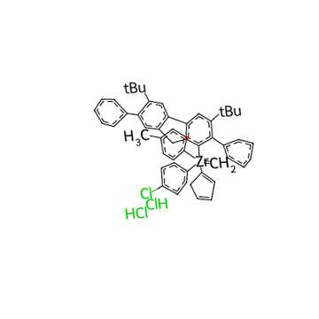 Cl.Cl.[CH2]=[Zr]([C]1=CC=CC1)([c]1ccc(C)cc1)([c]1ccc(Cl)cc1)[c]1c2c(cc(C(C)(C)C)c1-c1ccccc1)-c1cc(C(C)(C)C)c(-c3ccccc3)cc1C2